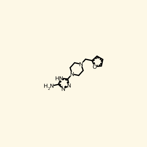 Nc1nnc(N2CCN(Cc3ccco3)CC2)[nH]1